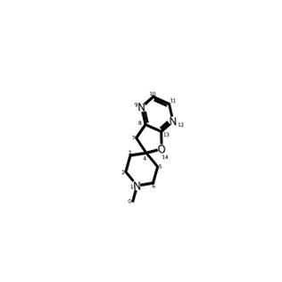 CN1CCC2(CC1)Cc1nccnc1O2